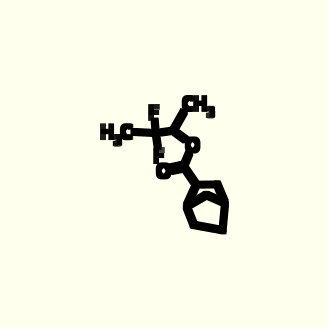 CC(OC(=O)C1CC2CCC1C2)C(C)(F)F